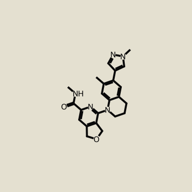 CNC(=O)c1cc2c(c(N3CCCc4cc(-c5cnn(C)c5)c(C)cc43)n1)COC2